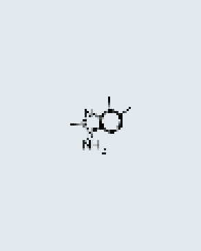 Cc1ccc2c(nc(C)n2N)c1C